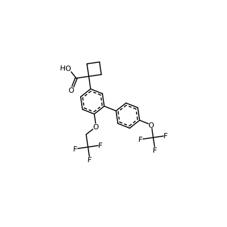 O=C(O)C1(c2ccc(OCC(F)(F)F)c(-c3ccc(OC(F)(F)F)cc3)c2)CCC1